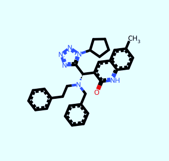 Cc1ccc2[nH]c(=O)c([C@@H](c3nnnn3C3CCCC3)N(CCc3ccccc3)Cc3ccccc3)cc2c1